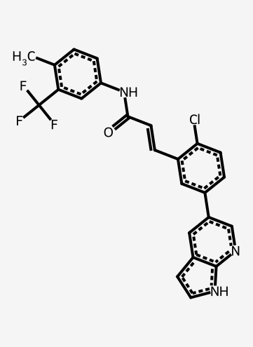 Cc1ccc(NC(=O)C=Cc2cc(-c3cnc4[nH]ccc4c3)ccc2Cl)cc1C(F)(F)F